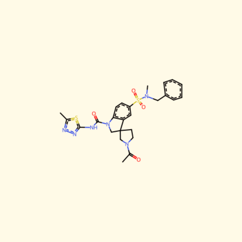 CC(=O)N1CCC2(C1)CN(C(=O)Nc1nnc(C)s1)c1ccc(S(=O)(=O)N(C)Cc3ccccc3)cc12